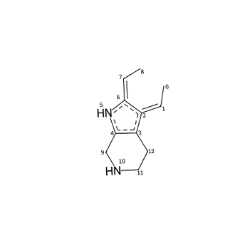 C/C=c1/c2c([nH]/c1=C/C)CNCC2